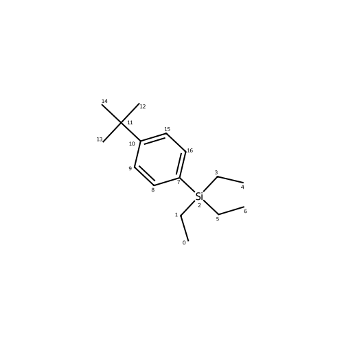 CC[Si](CC)(CC)c1ccc(C(C)(C)C)cc1